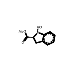 COC(=O)[C@@H]1Cc2ccccc2N1.Cl